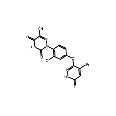 CC(C)c1cc(=O)[nH]nc1Oc1ccc(-n2nc(C#N)c(=O)[nH]c2=O)c(Cl)c1